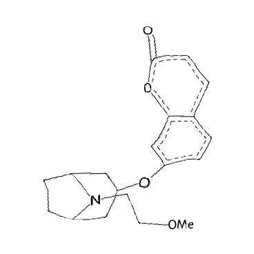 COCCN1C2CCC1CC(Oc1ccc3ccc(=O)oc3c1)C2